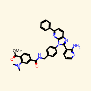 COC(=O)c1ccc(C(=O)NCc2ccc(-n3c(-c4cccnc4N)nc4ccc(-c5ccccc5)nc43)cc2)cc1N(C)C